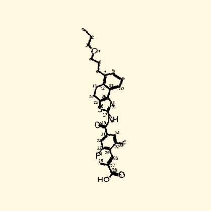 CCCOCCCc1cccc2c1CCc1sc(NC(=O)c3cc(F)c(C=C(C)C(=O)O)c(F)c3)nc1-2